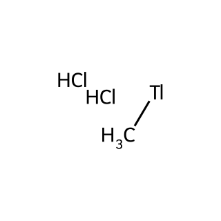 Cl.Cl.[CH3][Tl]